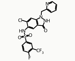 O=c1[nH]n(Cc2ccccn2)c2cc(Cl)c(NS(=O)(=O)c3ccc(F)c(C(F)(F)F)c3)cc12